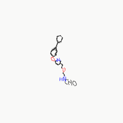 O=CNCCOCCc1ccc(Oc2ccc(C3CCCCC3)cc2)nc1